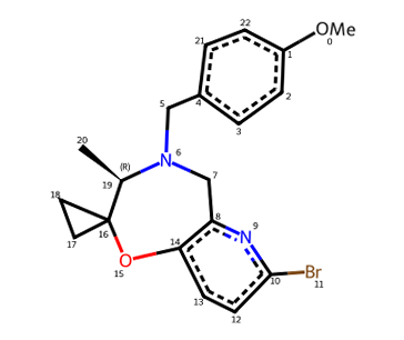 COc1ccc(CN2Cc3nc(Br)ccc3OC3(CC3)[C@H]2C)cc1